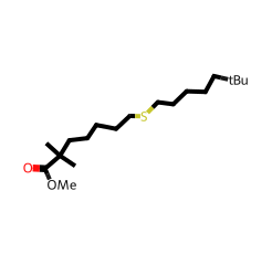 COC(=O)C(C)(C)CCCCCSCCCCCC(C)(C)C